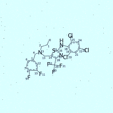 CCCN(Cc1ccc(F)c(F)c1)Cc1sc(Nc2c(Cl)cc(Cl)cc2Cl)nc1C(F)(F)F